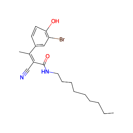 CCCCCCCCCNC(=O)C(C#N)=C(C)c1ccc(O)c(Br)c1